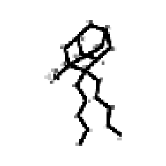 CCCCCC1(CCCCC)C2CC3CC(C2)CC1(N)C3